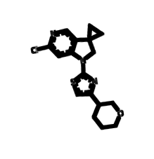 Clc1cc2c(cn1)C1(CC1)CN2c1nc(C2CCCOC2)cs1